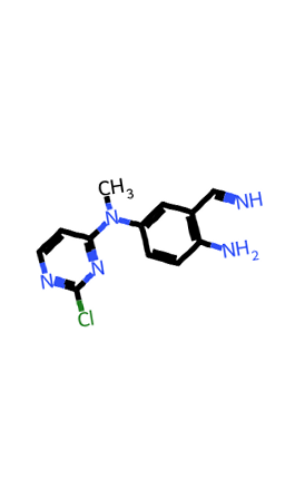 CN(c1ccc(N)c(C=N)c1)c1ccnc(Cl)n1